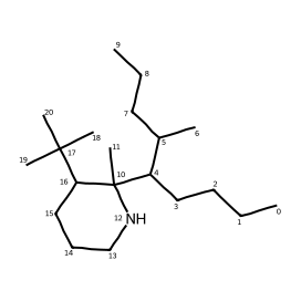 CCCCC(C(C)CCC)C1(C)NCCCC1C(C)(C)C